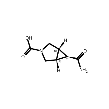 NC(=O)[C@H]1[C@@H]2CN(C(=O)O)C[C@@H]21